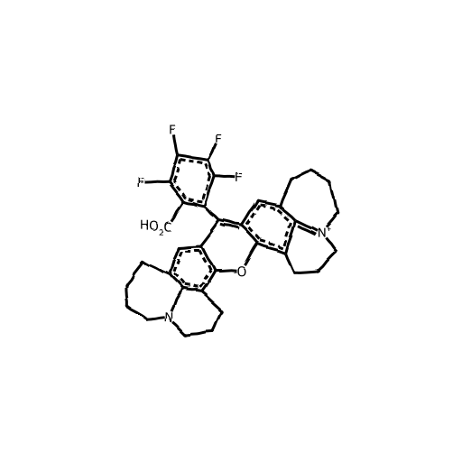 O=C(O)c1c(F)c(F)c(F)c(F)c1C1=c2cc3c4c(c2Oc2c1cc1c5c2CCCN5CCCC1)CCC[N+]=4CCCC3